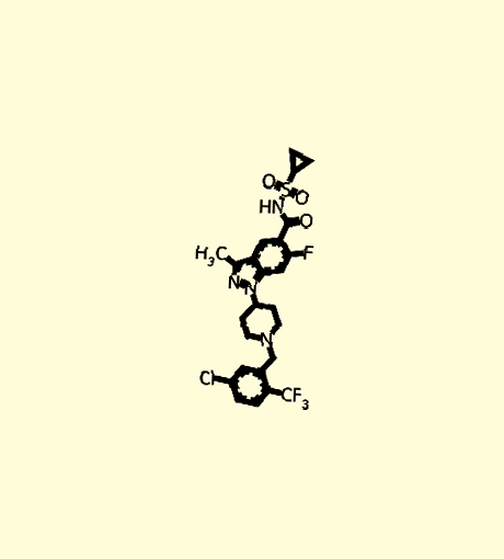 Cc1nn(C2CCN(Cc3cc(Cl)ccc3C(F)(F)F)CC2)c2cc(F)c(C(=O)NS(=O)(=O)C3CC3)cc12